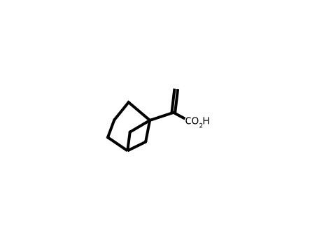 C=C(C(=O)O)C12CCCC(C1)C2